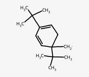 [CH2]C1(C(C)(C)C)C=CC(C(C)(C)C)=CC1